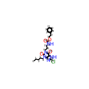 CCCCCn1c(=O)n(CCCNC(=O)OCCc2ccccc2)c(=O)c2[nH]c(Cl)nc21